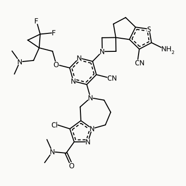 CN(C)CC1(COc2nc(N3CCCn4nc(C(=O)N(C)C)c(Cl)c4C3)c(C#N)c(N3CC4(CCc5sc(N)c(C#N)c54)C3)n2)CC1(F)F